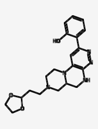 Oc1ccccc1-c1cc2c(nn1)NCC1CN(CCC3OCCO3)CCN21